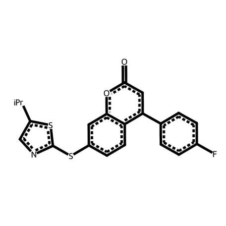 CC(C)c1cnc(Sc2ccc3c(-c4ccc(F)cc4)cc(=O)oc3c2)s1